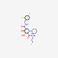 O=C(NCc1ccc(F)cc1F)c1cn2c(c(O)c1=O)C(=O)N(CCCF)[C@@H]1CCCCN12